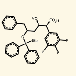 CC(C)(C)[Si](OC(Cc1ccccc1)C[C@@H](O)[C@@H](C(=O)O)c1cc(F)c(F)c(F)c1)(c1ccccc1)c1ccccc1